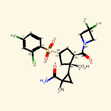 N#CC1(C(N)=O)CC1[C@]1(C(=O)O)C[C@H](S(=O)(=O)c2ccc(F)cc2Cl)C[C@H]1C(=O)N1CC(F)(F)C1